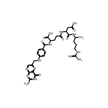 CC(CCCNC(=N)N)NC(=O)C(CC(=O)O)NC(=O)CCC(NC(=O)c1ccc(NCc2cnc3nc(N)[nH]c(=O)c3n2)cc1)C(=O)O